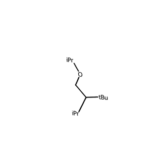 CC(C)OCC(C(C)C)C(C)(C)C